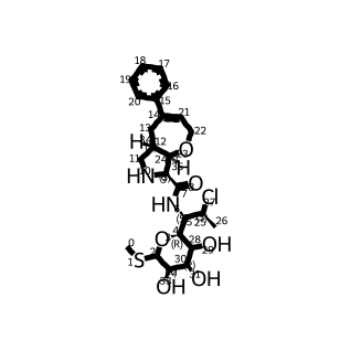 CSC1O[C@H]([C@H](NC(=O)[C@H]2NC[C@@H]3CC(c4ccccc4)=CCO[C@H]32)[C@H](C)Cl)C(O)[C@@H](O)[C@H]1O